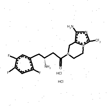 Cl.Cl.Nc1nc(C(F)(F)F)n2c1CN(C(=O)C[C@H](N)Cc1cc(F)c(F)cc1F)CC2